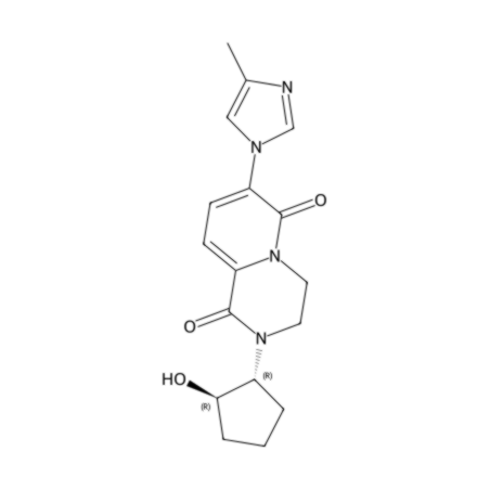 Cc1cn(-c2ccc3n(c2=O)CCN([C@@H]2CCC[C@H]2O)C3=O)cn1